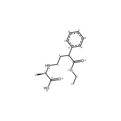 CCOC(=O)C(CCN[C@H](C)C(=O)O)c1ccccc1